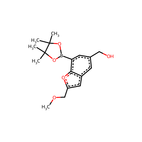 COCc1cc2cc(CO)cc(B3OC(C)(C)C(C)(C)O3)c2o1